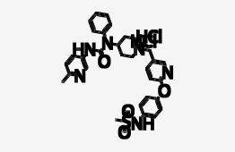 Cc1ccc(NC(=O)N(c2ccccc2)C2CCN(Cc3ccc(Oc4ccc(NS(C)(=O)=O)cc4)nc3)CC2)cn1.Cl.Cl